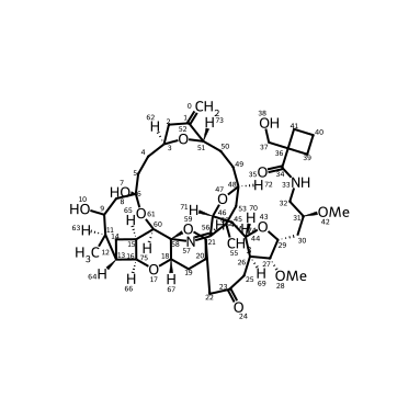 C=C1C[C@@H]2CC[C@@]3(O)CC(O)[C@H](C)[C@@H]4C[C@@H]5[C@H]4O[C@H]4CC[C@@H]6CC(=O)C[C@@H]7[C@@H](OC)[C@@H](C[C@@H](CNC(=O)C8(CO)CCC8)OC)O[C@H]7C[C@H]7O[C@@H](CC[C@@H]1O2)C[C@@H](C)C7=N[C@@]4(O6)[C@@H]5O3